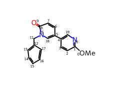 COc1ccc(-c2ccc(=O)n(Cc3ccccc3)c2)cn1